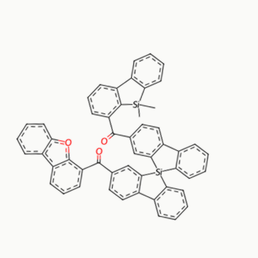 C[Si]1(C)c2ccccc2-c2cccc(C(=O)c3ccc4c(c3)[Si]3(c5ccccc5-4)c4ccccc4-c4ccc(C(=O)c5cccc6c5oc5ccccc56)cc43)c21